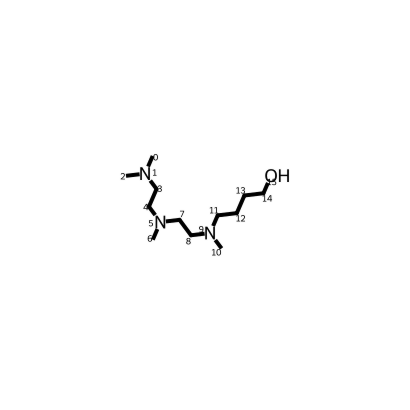 CN(C)CCN(C)CCN(C)CCCCO